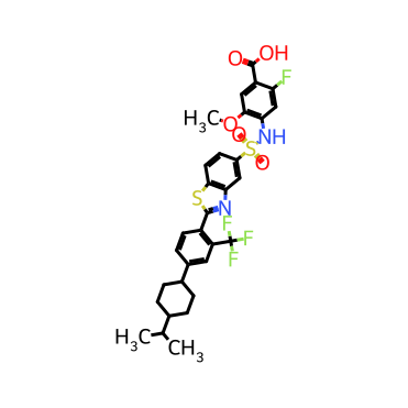 COc1cc(C(=O)O)c(F)cc1NS(=O)(=O)c1ccc2sc(-c3ccc(C4CCC(C(C)C)CC4)cc3C(F)(F)F)nc2c1